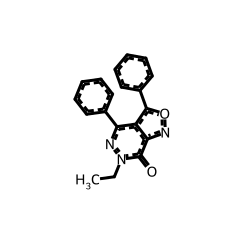 CCn1nc(-c2ccccc2)c2c(-c3ccccc3)onc2c1=O